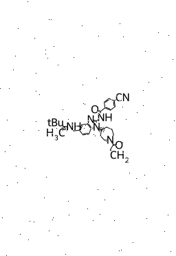 C=CC(=O)N1CCC[C@@H](n2c(NC(=O)c3ccc(C#N)cc3)nc3cc(CN[C@@H](C)C(C)(C)C)ccc32)CC1